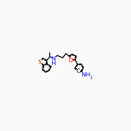 CC(NCCCc1ccc(-c2ccc(N)cc2)o1)c1csc2ccccc12